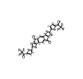 O=C(c1ccc(-c2nc3c(=O)c4cc5c(cc4c3s2)c(=O)c2nc(-c3ccc(C(=O)C(F)(F)F)s3)sc25)s1)C(F)(F)F